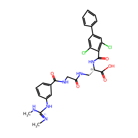 C/N=C(\NC)Nc1cccc(C(=O)NCC(=O)NC[C@H](NC(=O)c2c(Cl)cc(-c3ccccc3)cc2Cl)C(=O)O)c1